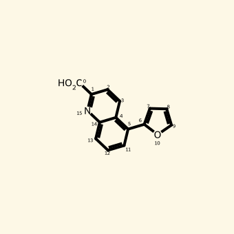 O=C(O)c1ccc2c(-c3ccco3)cccc2n1